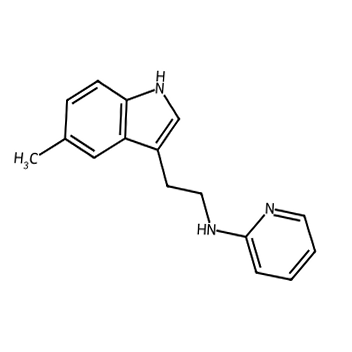 Cc1ccc2[nH]cc(CCNc3ccccn3)c2c1